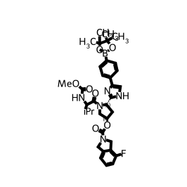 COC(=O)NC(C(=O)N1C[C@H](OC(=O)N2Cc3cccc(F)c3C2)C[C@H]1c1nc(-c2ccc(B3OC(C)(C)C(C)(C)O3)cc2)c[nH]1)C(C)C